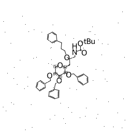 C[C@@H]1O[C@@H](CC(CNC(=O)OC(C)(C)C)OCCCc2ccccc2)[C@@H](OCc2ccccc2)[C@H](OCc2ccccc2)[C@@H]1OCc1ccccc1